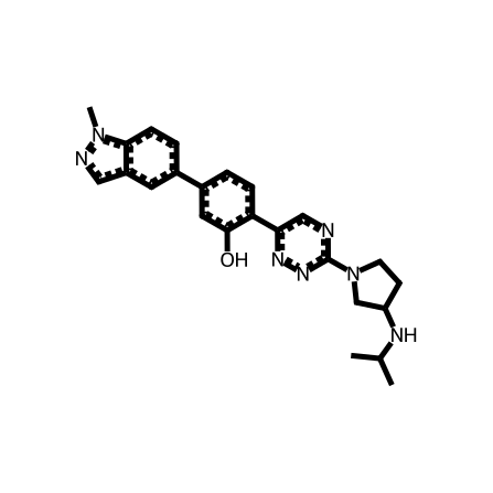 CC(C)NC1CCN(c2ncc(-c3ccc(-c4ccc5c(cnn5C)c4)cc3O)nn2)C1